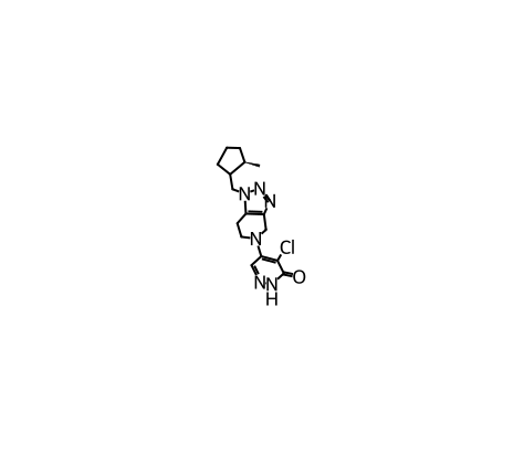 C[C@@H]1CCCC1Cn1nnc2c1CCN(c1cn[nH]c(=O)c1Cl)C2